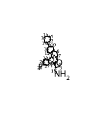 NC[C@H]1COC(N2CCc3cc(C4CCCCC4)ccc3[C@@H]2c2ccc(F)cc2)=N1